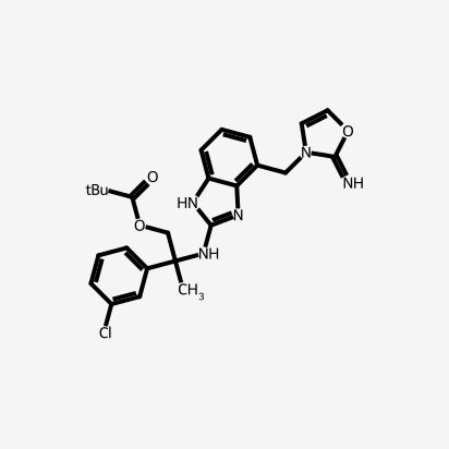 CC(C)(C)C(=O)OCC(C)(Nc1nc2c(Cn3ccoc3=N)cccc2[nH]1)c1cccc(Cl)c1